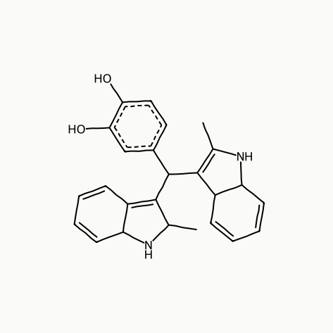 CC1=C(C(C2=C3C=CC=CC3NC2C)c2ccc(O)c(O)c2)C2C=CC=CC2N1